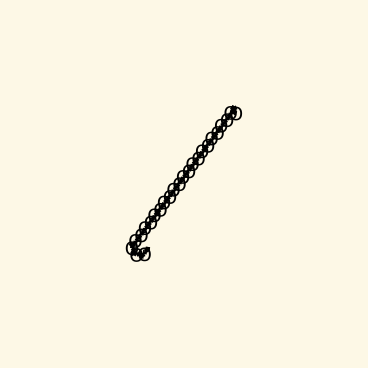 C=CCOC(C)COC(C)COC(C)COCCOCCOCCOCCOCCOCCOCCOCCOCCOCCOCCOCCOCCOCCOCCOCCOCCOCCOCCOCCOC(=O)C(=C)C